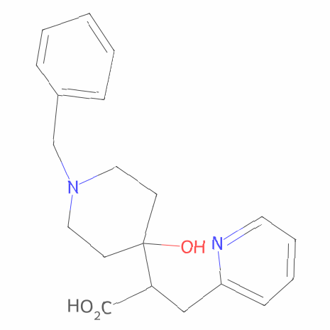 O=C(O)C(Cc1ccccn1)C1(O)CCN(Cc2ccccc2)CC1